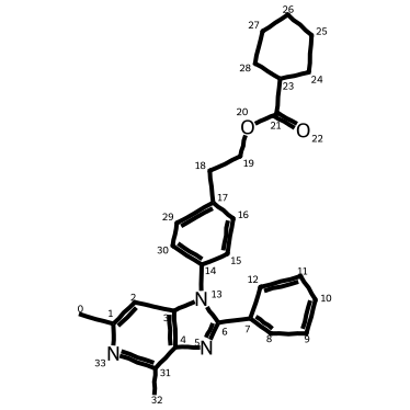 Cc1cc2c(nc(-c3ccccc3)n2-c2ccc(CCOC(=O)C3CCCCC3)cc2)c(C)n1